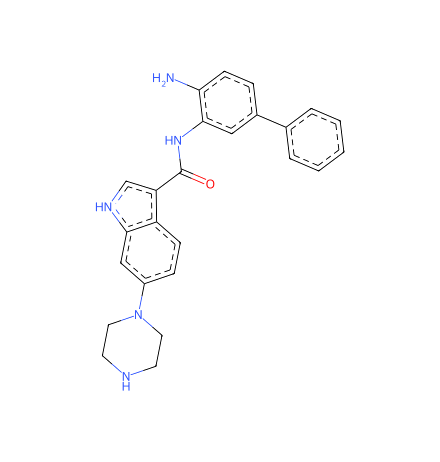 Nc1ccc(-c2ccccc2)cc1NC(=O)c1c[nH]c2cc(N3CCNCC3)ccc12